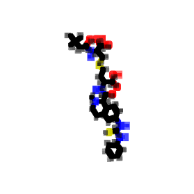 CN1CCc2cc(NC(=S)Nc3ccccc3)ccc2C1C(=O)NC(CCSCC(NC(=O)CC(C)(C)C)C(=O)O)C(=O)O